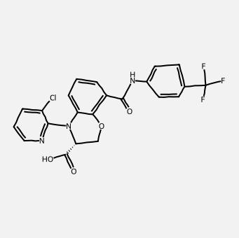 O=C(Nc1ccc(C(F)(F)F)cc1)c1cccc2c1OC[C@H](C(=O)O)N2c1ncccc1Cl